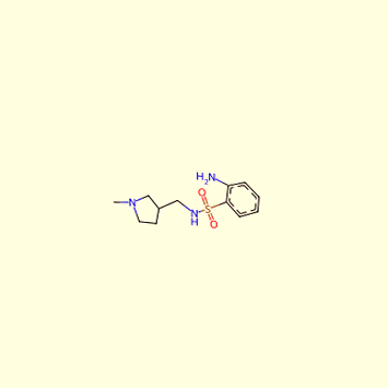 CN1CCC(CNS(=O)(=O)c2ccccc2N)C1